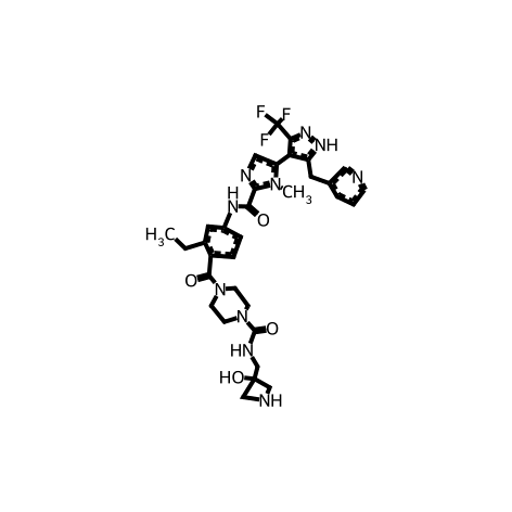 CCc1cc(NC(=O)c2ncc(-c3c(C(F)(F)F)n[nH]c3Cc3cccnc3)n2C)ccc1C(=O)N1CCN(C(=O)NCC2(O)CNC2)CC1